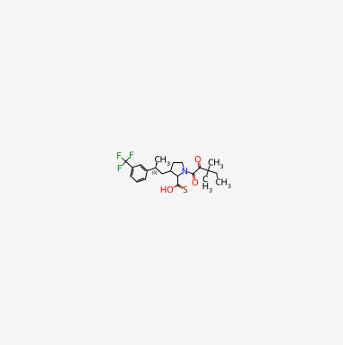 CCC(C)(C)C(=O)C(=O)N1CCC(C[C@H](C)c2cccc(C(F)(F)F)c2)C1C(O)=S